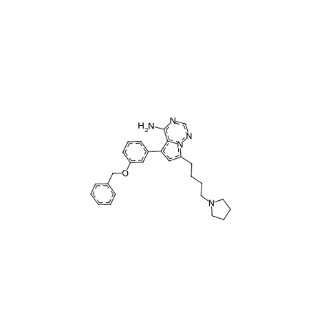 Nc1ncnn2c(CCCCN3CCCC3)cc(-c3cccc(OCc4ccccc4)c3)c12